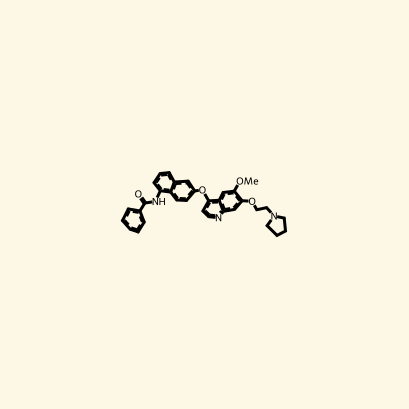 COc1cc2c(Oc3ccc4c(NC(=O)c5ccccc5)cccc4c3)ccnc2cc1OCCN1CCCC1